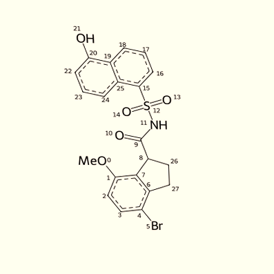 COc1ccc(Br)c2c1C(C(=O)NS(=O)(=O)c1cccc3c(O)cccc13)CC2